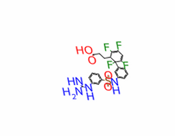 N=C(N)Nc1cccc(S(=O)(=O)Nc2cccc(C3(F)C(F)=CC(F)=C(F)C3CCC(=O)O)c2)c1